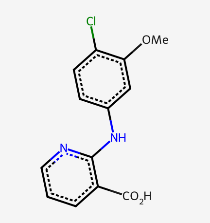 COc1cc(Nc2ncccc2C(=O)O)ccc1Cl